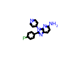 Nc1ccc2nc(-c3ccc(F)cc3)n(-c3ccncc3)c2n1